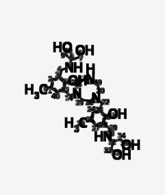 Cc1cc(CNC(CO)CO)c(O)c(CN2CCNCCN(Cc3cc(C)cc(CNC(CO)CO)c3O)CC2)c1